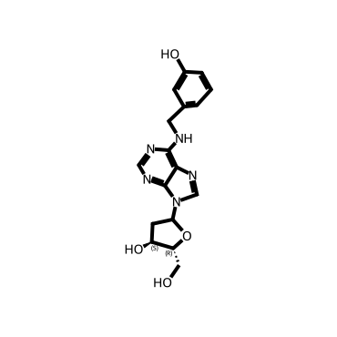 OC[C@H]1OC(n2cnc3c(NCc4cccc(O)c4)ncnc32)C[C@@H]1O